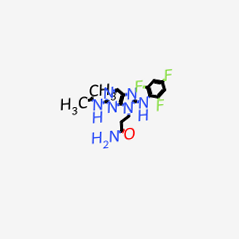 CC(C)Nc1ncc2nc(Nc3c(F)cc(F)cc3F)n(CCC(N)=O)c2n1